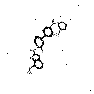 O=C(O)[C@@H]1CCC[C@H]1C(=O)c1ccc(-c2ccc(Nc3nc4c(OC(F)(F)F)cccc4s3)c(F)c2)cc1